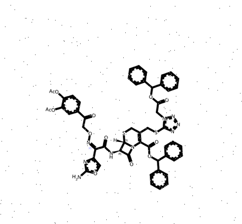 CC(=O)Oc1ccc(C(=O)CO/N=C(\C(=O)N[C@@H]2C(=O)N3C(C(=O)OC(c4ccccc4)c4ccccc4)=C(CSc4nnnn4CC(=O)OC(c4ccccc4)c4ccccc4)CS[C@@H]23)c2coc(N)n2)cc1OC(C)=O